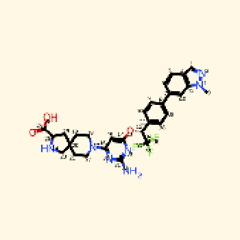 Cn1ncc2ccc(-c3ccc([C@@H](Oc4cc(N5CCC6(CC5)CNC(C(=O)O)C6)nc(N)n4)C(F)(F)F)cc3)cc21